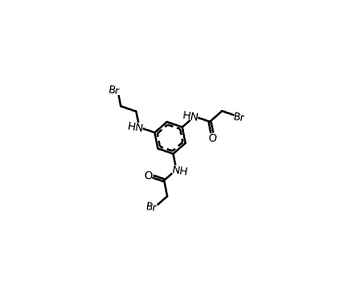 O=C(CBr)Nc1cc(NCCBr)cc(NC(=O)CBr)c1